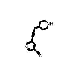 N#Cc1cncc(C#CC=C2CCNCC2)c1